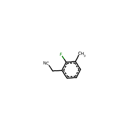 Cc1cccc(CC#N)c1F